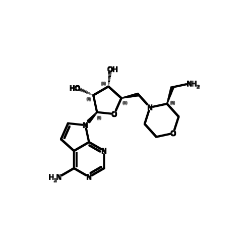 NC[C@H]1COCCN1C[C@H]1O[C@@H](n2ccc3c(N)ncnc32)[C@H](O)[C@@H]1O